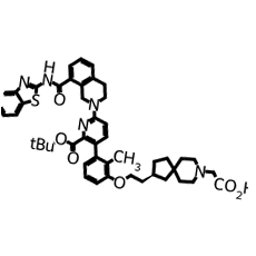 Cc1c(OCC[C@H]2CCC3(CCN(CC(=O)O)CC3)C2)cccc1-c1ccc(N2CCc3cccc(C(=O)Nc4nc5ccccc5s4)c3C2)nc1C(=O)OC(C)(C)C